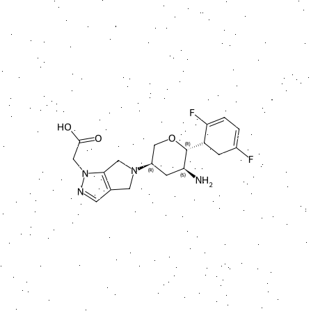 N[C@H]1C[C@@H](N2Cc3cnn(CC(=O)O)c3C2)CO[C@@H]1C1CC(F)=CC=C1F